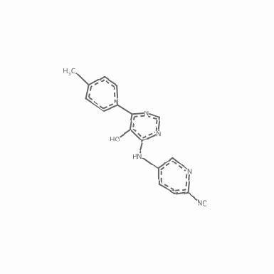 [C-]#[N+]c1ccc(Nc2ncnc(-c3ccc(C)cc3)c2O)cn1